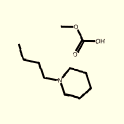 CCCCN1CCCCC1.COC(=O)O